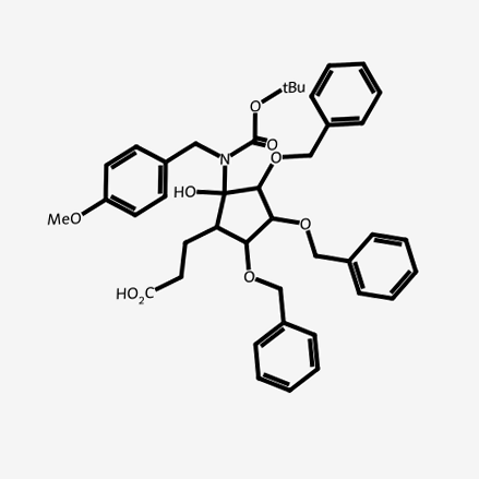 COc1ccc(CN(C(=O)OC(C)(C)C)C2(O)C(CCC(=O)O)C(OCc3ccccc3)C(OCc3ccccc3)C2OCc2ccccc2)cc1